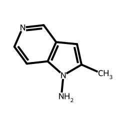 Cc1cc2cnccc2n1N